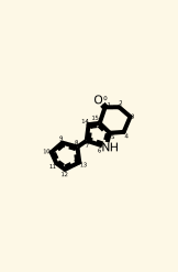 O=C1CCCc2[nH]c(-c3ccccc3)cc21